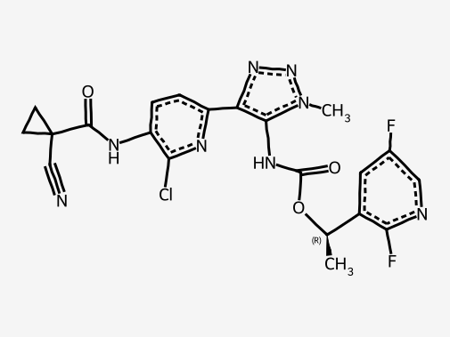 C[C@@H](OC(=O)Nc1c(-c2ccc(NC(=O)C3(C#N)CC3)c(Cl)n2)nnn1C)c1cc(F)cnc1F